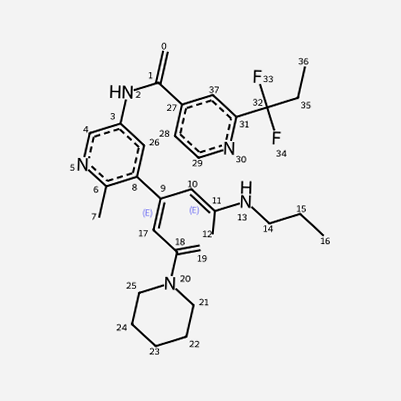 C=C(Nc1cnc(C)c(C(/C=C(\C)NCCC)=C/C(=C)N2CCCCC2)c1)c1ccnc(C(F)(F)CC)c1